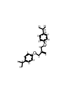 C=C(COc1ccc(C(C)C)cc1)COc1ccc(C(C)C)cc1